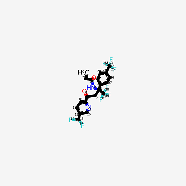 C=CC(=O)NC(CC(=O)c1ccc(C(F)F)cn1)(c1ccc(C(F)(F)F)cc1)C(F)(F)F